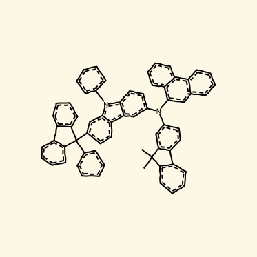 CC1(C)c2ccccc2-c2ccc(N(c3ccc4c(c3)c3ccc(C5(c6ccccc6)c6ccccc6-c6ccccc65)cc3n4-c3ccccc3)c3cc4ccccc4c4ccccc34)cc21